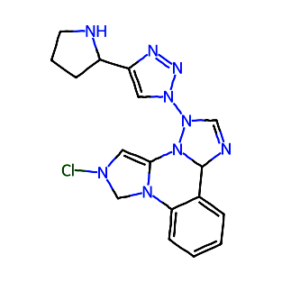 ClN1C=C2N(C1)c1ccccc1C1N=CN(n3cc(C4CCCN4)nn3)N21